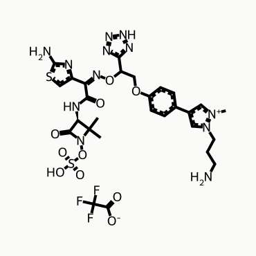 C[n+]1cc(-c2ccc(OCC(O/N=C(\C(=O)N[C@@H]3C(=O)N(OS(=O)(=O)O)C3(C)C)c3csc(N)n3)c3nn[nH]n3)cc2)cn1CCCN.O=C([O-])C(F)(F)F